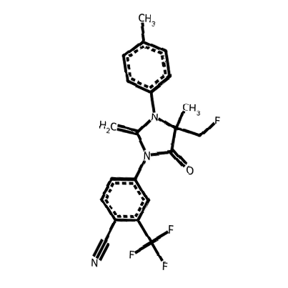 C=C1N(c2ccc(C#N)c(C(F)(F)F)c2)C(=O)C(C)(CF)N1c1ccc(C)cc1